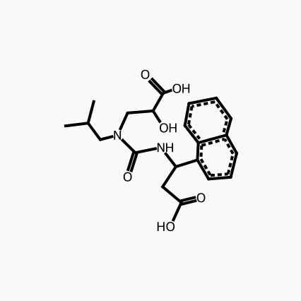 CC(C)CN(CC(O)C(=O)O)C(=O)NC(CC(=O)O)c1cccc2ccccc12